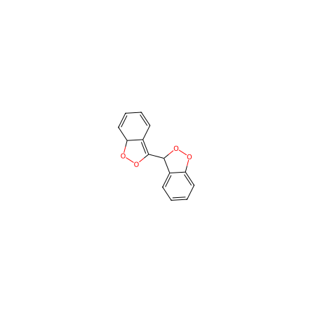 C1=CC2=C(C3OOc4ccccc43)OOC2C=C1